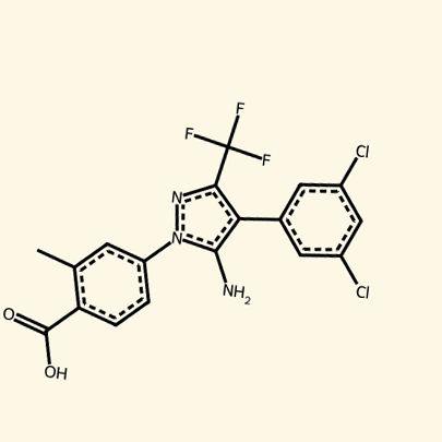 Cc1cc(-n2nc(C(F)(F)F)c(-c3cc(Cl)cc(Cl)c3)c2N)ccc1C(=O)O